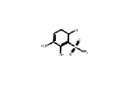 NC1=CCC(Cl)C(S(N)(=O)=O)=C1O